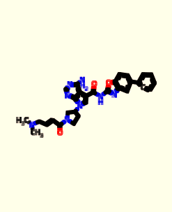 CN(C)CC=CC(=O)N1CCC(n2cc(C(=O)Nc3nc4cc(-c5ccccc5)ccc4o3)c3c(N)ncnc32)C1